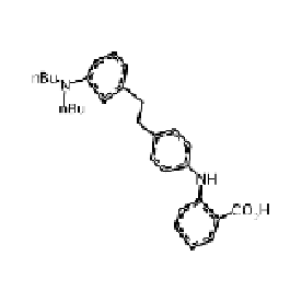 CCCCN(CCCC)c1cccc(CCc2ccc(Nc3ccccc3C(=O)O)cc2)c1